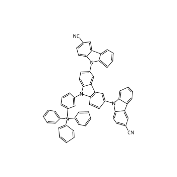 N#Cc1ccc2c(c1)c1ccccc1n2-c1ccc2c(c1)c1cc(-n3c4ccccc4c4cc(C#N)ccc43)ccc1n2-c1cccc([Si](c2ccccc2)(c2ccccc2)c2ccccc2)c1